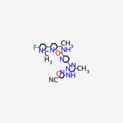 Cc1cc(Nc2cc(C#N)on2)nc(-c2ccc(C(=O)NC(C)c3ccc(-c4ccc(F)nc4C)nc3)nc2)n1